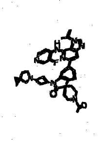 CC(=O)N1CCC2(CC1)C(=O)N([C@H]1C[C@@H](N3CCC4(CC4)C3)C1)c1cc(-c3cc4ncn(C(C)C)c4c(Nc4ccncc4F)n3)ccc12